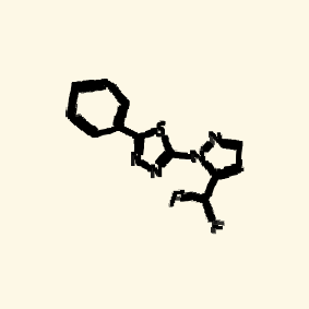 FC(F)c1[c]cnn1-c1nnc(-c2ccccc2)s1